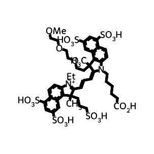 CC[N+]1=C(/C=C/C=C2/N(CCCCCC(=O)O)c3ccc4c(S(=O)(=O)O)cc(S(=O)(=O)O)cc4c3C2(C)CCOCCOCCOC)C(C)(CCCS(=O)(=O)O)c2c1ccc1c(S(=O)(=O)O)cc(S(=O)(=O)O)cc21